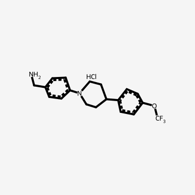 Cl.NCc1ccc(N2CCC(c3ccc(OC(F)(F)F)cc3)CC2)cc1